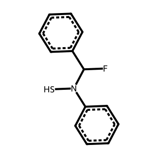 FC(c1ccccc1)N(S)c1ccccc1